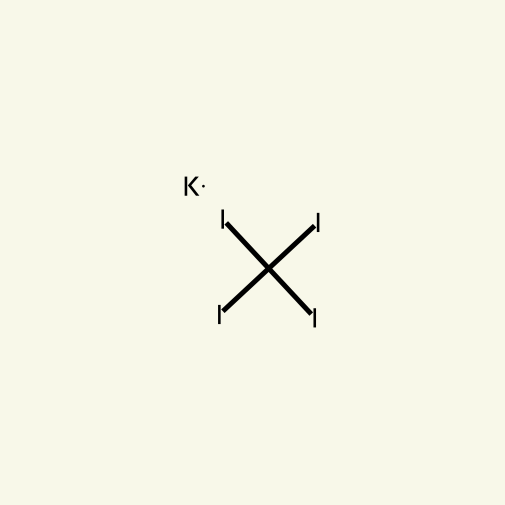 IC(I)(I)I.[K]